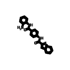 Nc1ccccc1NC(=O)c1ccc(NC(=O)c2cc3ccccc3s2)cc1